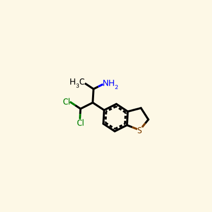 CC(N)C(c1ccc2c(c1)CCS2)C(Cl)Cl